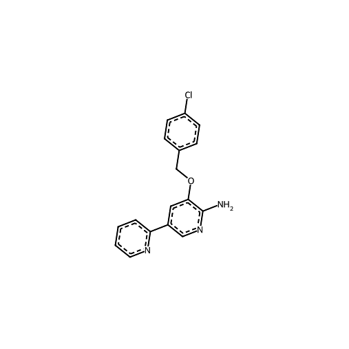 Nc1ncc(-c2ccccn2)cc1OCc1ccc(Cl)cc1